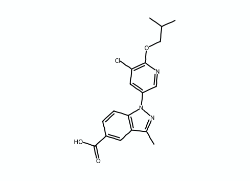 Cc1nn(-c2cnc(OCC(C)C)c(Cl)c2)c2ccc(C(=O)O)cc12